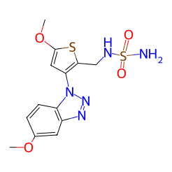 COc1ccc2c(c1)nnn2-c1cc(OC)sc1CNS(N)(=O)=O